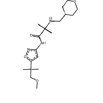 COCC(C)(C)c1cc(NC(=O)C(C)(C)NCC2CCOCC2)no1